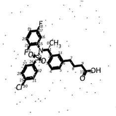 C[C@H](c1cccc(CCCC(=O)O)c1)N(c1cc(F)ccc1F)S(=O)(=O)c1ccc(Cl)cc1